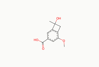 COc1cc(C(=O)O)cc2c1CC2(C)O